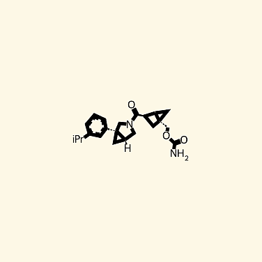 CC(C)c1cccc([C@@]23C[C@@H]2CN(C(=O)[C@@H]2C[C@]4(COC(N)=O)CC24)C3)c1